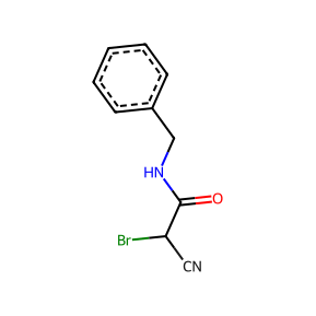 N#CC(Br)C(=O)NCc1ccccc1